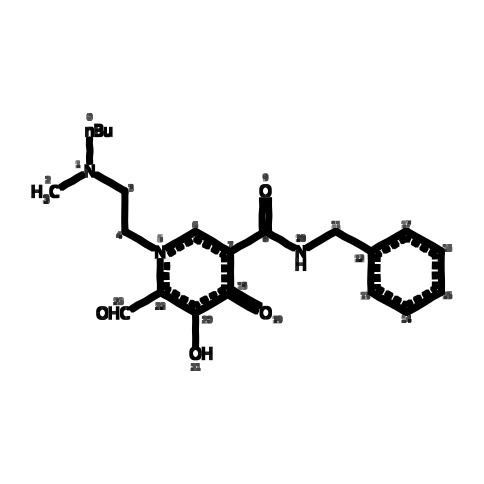 CCCCN(C)CCn1cc(C(=O)NCc2ccccc2)c(=O)c(O)c1C=O